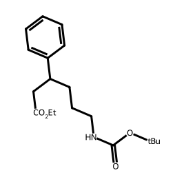 CCOC(=O)CC(CCCNC(=O)OC(C)(C)C)c1ccccc1